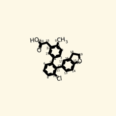 Cc1ccc(-c2cccc(Cl)c2-c2ccc3c(c2)CCO3)cc1CC(=O)O